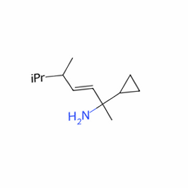 CC(C)C(C)/C=C/C(C)(N)C1CC1